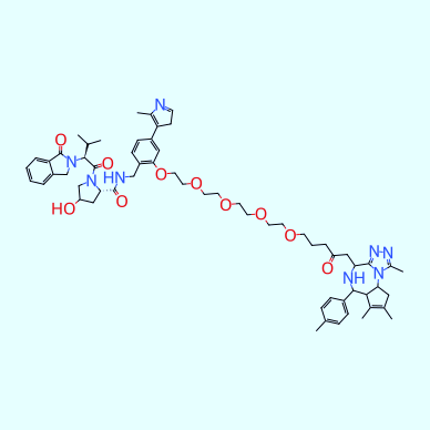 CC1=C(C)C2C(c3ccc(C)cc3)NC(CC(=O)CCCOCCOCCOCCOCCOc3cc(C4=C(C)N=CC4)ccc3CNC(=O)[C@@H]3CC(O)CN3C(=O)[C@H](C(C)C)N3Cc4ccccc4C3=O)c3nnc(C)n3C2C1